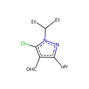 CCCc1nn(C(CC)CC)c(Cl)c1C=O